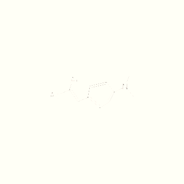 CC(=O)C(=Cc1ccc(N(C)C)cc1)C(C)=O